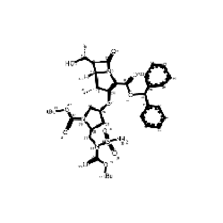 C[C@@H](O)[C@H]1C(=O)N2C(C(=O)OC(c3ccccc3)c3ccccc3)=C(SC3CC(CN(C(=O)OC(C)(C)C)S(N)(=O)=O)N(C(=O)OC(C)(C)C)C3)[C@H](C)[C@H]12